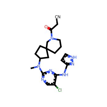 CN(c1ncc(Cl)c(Nc2cc[nH]n2)n1)C1CCC2(CCCN(C(=O)CC#N)C2)C1